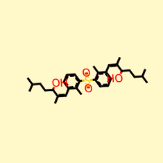 CC(=Cc1cccc(S(=O)(=O)c2cccc(C=C(C)C(O)CCC(C)C)c2C)c1C)C(O)CCC(C)C